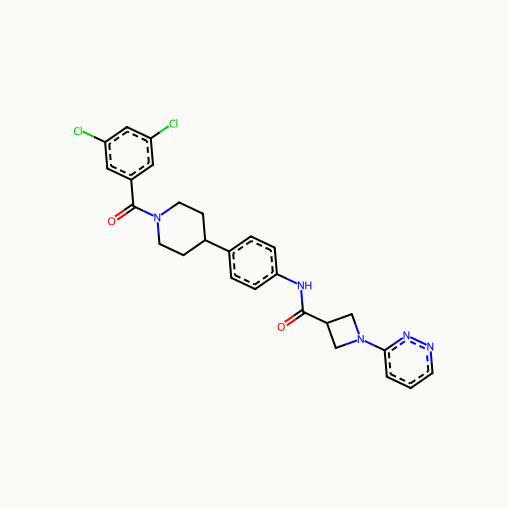 O=C(Nc1ccc(C2CCN(C(=O)c3cc(Cl)cc(Cl)c3)CC2)cc1)C1CN(c2cccnn2)C1